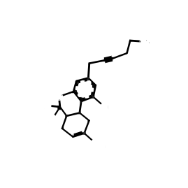 CC1=CCC2C(C1)c1c(O)cc(CC#CCCC#N)cc1OC2(C)C